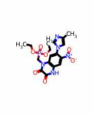 CCOP(=O)(Cn1c(=O)c(=O)[nH]c2cc([N+](=O)[O-])c(-n3cnc(C)c3)cc21)OCC